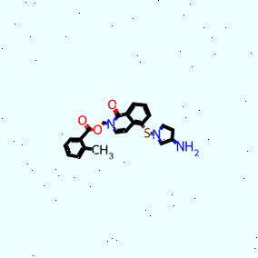 Cc1ccccc1C(=O)OCn1ccc2c(SN3CCC(N)C3)cccc2c1=O